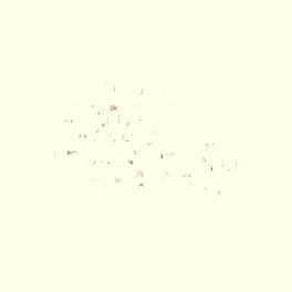 CC(=O)N[C@H]1C(O)O[C@H](CO)[C@@H](O[C@@H]2O[C@H](CO)[C@H](O)[C@H](O)[C@H]2O[C@@H]2O[C@@H](C)[C@@H](O)[C@@H](O)[C@@H]2O)[C@@H]1O[C@@H]1O[C@@H](C)[C@@H](O)[C@@H](O)[C@@H]1O